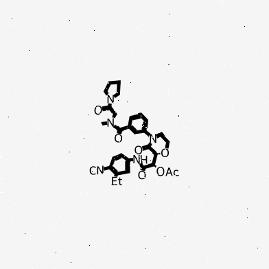 [C-]#[N+]c1ccc(NC(=O)[C@H](OC(C)=O)[C@H]2OCCN(c3cccc(C(=O)N(C)CC(=O)N4CCCC4)c3)C2=O)cc1CC